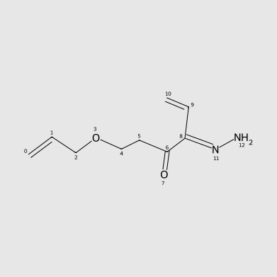 C=CCOCCC(=O)/C(C=C)=N/N